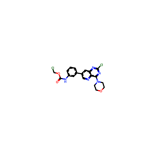 O=C(Nc1cccc(-c2cnc3c(N4CCOCC4)nc(Cl)nc3c2)c1)OCCl